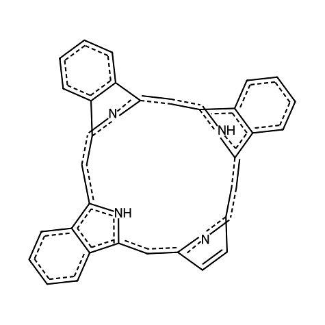 C1=Cc2cc3[nH]c(cc4nc(cc5[nH]c(cc1n2)c1ccccc51)-c1ccccc1-4)c1ccccc31